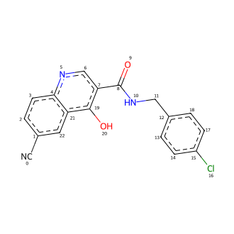 N#Cc1ccc2ncc(C(=O)NCc3ccc(Cl)cc3)c(O)c2c1